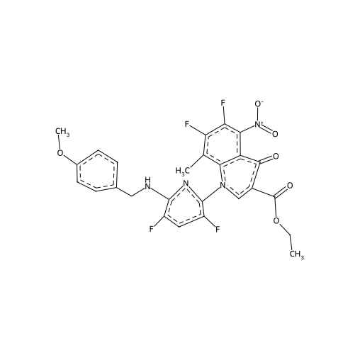 CCOC(=O)c1cn(-c2nc(NCc3ccc(OC)cc3)c(F)cc2F)c2c(C)c(F)c(F)c([N+](=O)[O-])c2c1=O